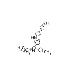 Cc1ccc(-c2nn(CCN(C)C)cc2-c2ccnc(Nc3ccc(N4CCN(C)CC4)cc3)n2)cc1